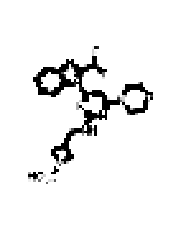 O=C(O)N1CC(CNc2nc(N3CCOCC3)cc(-n3c(C(F)F)nc4ccccc43)n2)C1